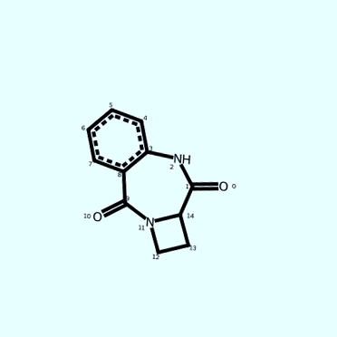 O=C1Nc2ccccc2C(=O)N2CCC12